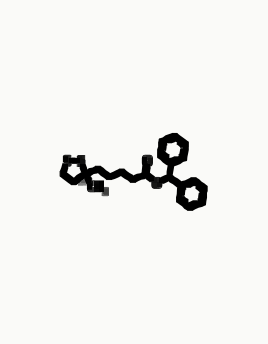 C[C@@]1(CCCCC(=O)OC(c2ccccc2)c2ccccc2)CCSS1